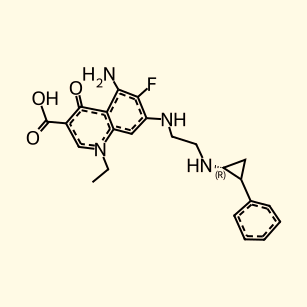 CCn1cc(C(=O)O)c(=O)c2c(N)c(F)c(NCCN[C@@H]3CC3c3ccccc3)cc21